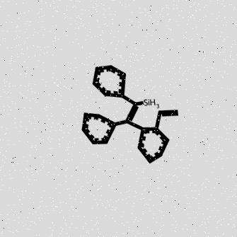 C=Cc1ccccc1C(=C([SiH3])c1ccccc1)c1ccccc1